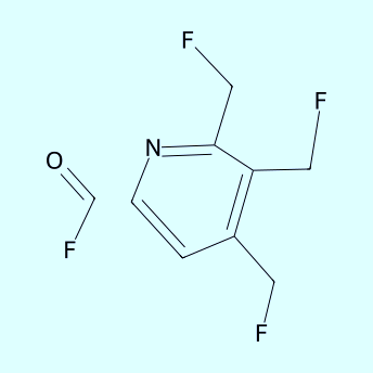 FCc1ccnc(CF)c1CF.O=CF